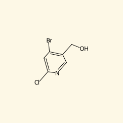 OCc1cnc(Cl)cc1Br